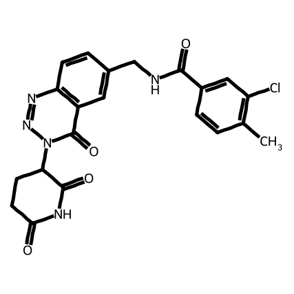 Cc1ccc(C(=O)NCc2ccc3nnn(C4CCC(=O)NC4=O)c(=O)c3c2)cc1Cl